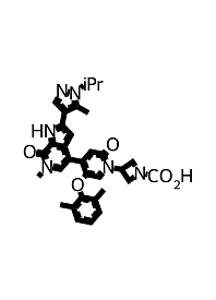 Cc1cccc(C)c1Oc1cn(C2CN(C(=O)O)C2)c(=O)cc1-c1cn(C)c(=O)c2[nH]c(-c3cnn(C(C)C)c3C)cc12